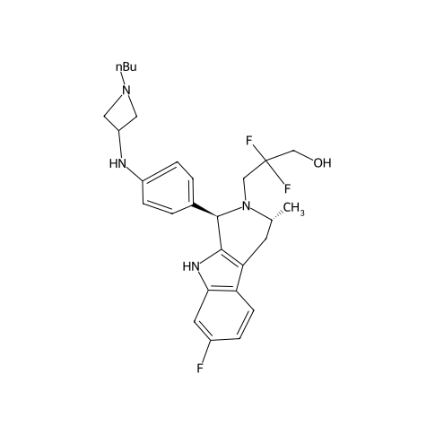 CCCCN1CC(Nc2ccc([C@@H]3c4[nH]c5cc(F)ccc5c4C[C@@H](C)N3CC(F)(F)CO)cc2)C1